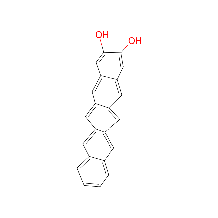 Oc1cc2cc3cc4cc5ccccc5cc4cc3cc2cc1O